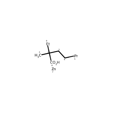 CCC(C)(CCC(C)C)C(=O)O.[Zn]